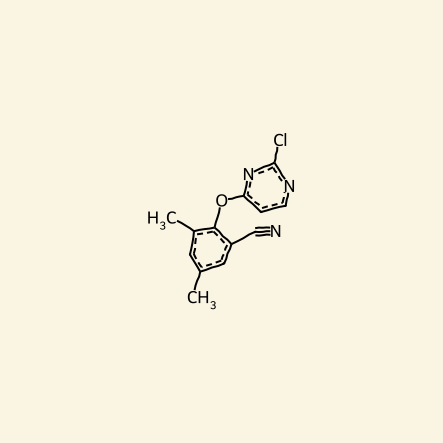 Cc1cc(C)c(Oc2ccnc(Cl)n2)c(C#N)c1